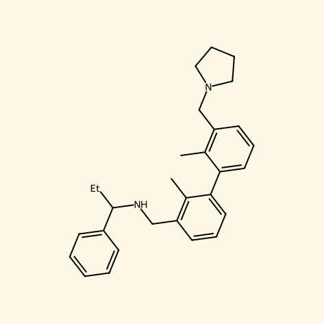 CCC(NCc1cccc(-c2cccc(CN3CCCC3)c2C)c1C)c1ccccc1